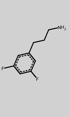 NCCCc1cc(F)cc(F)c1